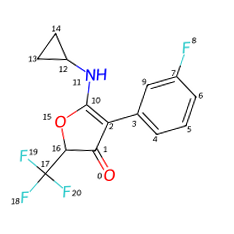 O=C1C(c2cccc(F)c2)=C(NC2CC2)OC1C(F)(F)F